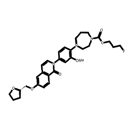 COc1cc(-n2ccc3cc(OC[C@@H]4CCCO4)ccc3c2=O)ccc1N1CCCN(C(=O)OCCCF)CC1